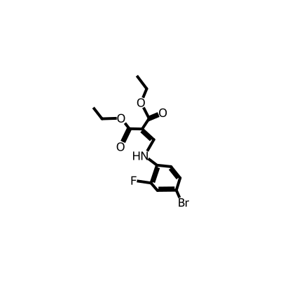 CCOC(=O)C(=CNc1ccc(Br)cc1F)C(=O)OCC